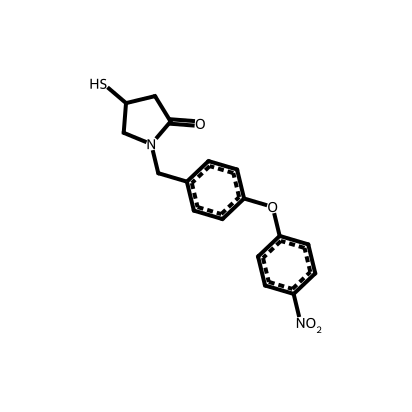 O=C1CC(S)CN1Cc1ccc(Oc2ccc([N+](=O)[O-])cc2)cc1